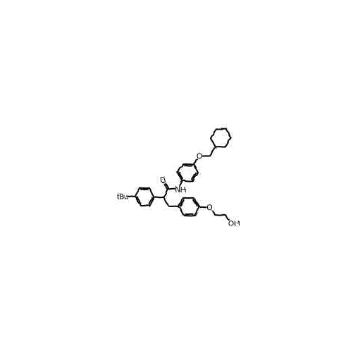 CC(C)(C)c1ccc(C(Cc2ccc(OCCO)cc2)C(=O)Nc2ccc(OCC3CCCCC3)cc2)cc1